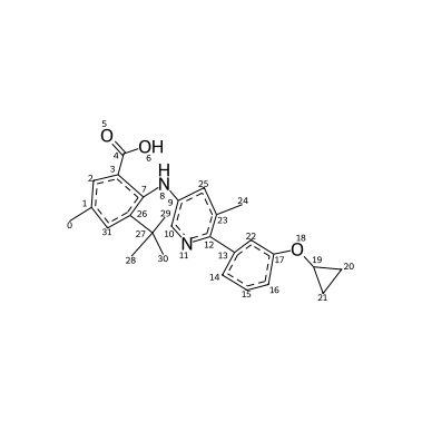 Cc1cc(C(=O)O)c(Nc2cnc(-c3cccc(OC4CC4)c3)c(C)c2)c(C(C)(C)C)c1